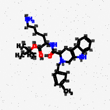 Cc1ccc(CN2Cc3[nH]c4ccccc4c3CC2C(=O)NC(CCCCN)C(=O)OC(C)(C)C)cc1